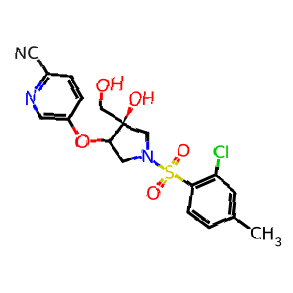 Cc1ccc(S(=O)(=O)N2CC(Oc3ccc(C#N)nc3)[C@](O)(CO)C2)c(Cl)c1